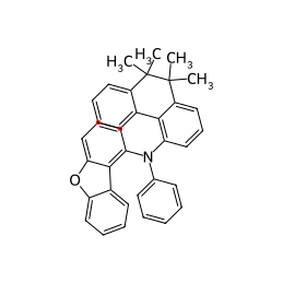 CC1(C)c2ccccc2-c2c(N(c3ccccc3)c3cccc4oc5ccccc5c34)cccc2C1(C)C